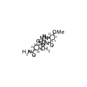 COc1ccc2c(=O)[nH]c3c(S(=O)(=O)c4ccc(C(N)=O)cc4C)nnn3c2c1